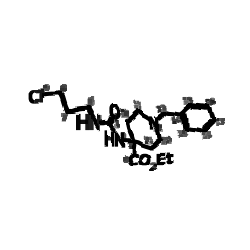 CCOC(=O)C1(NC(=O)NCCCCl)CCN(Cc2ccccc2)CC1